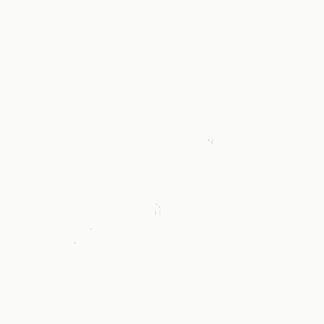 CCCn1c(-c2ccccc2)cc2cc(NCCO[Si](C)(C)C(C)(C)C)ccc21